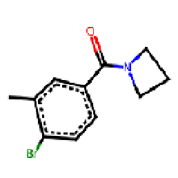 Cc1cc(C(=O)N2CCC2)ccc1Br